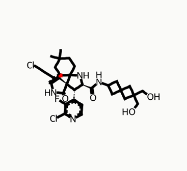 CC1(C)CCC2(CC1)N[C@@H](C(=O)NC1CC3(C1)CC(CO)(CO)C3)[C@H](c1ccnc(Cl)c1F)[C@]21C(=O)Nc2cc(Cl)ccc21